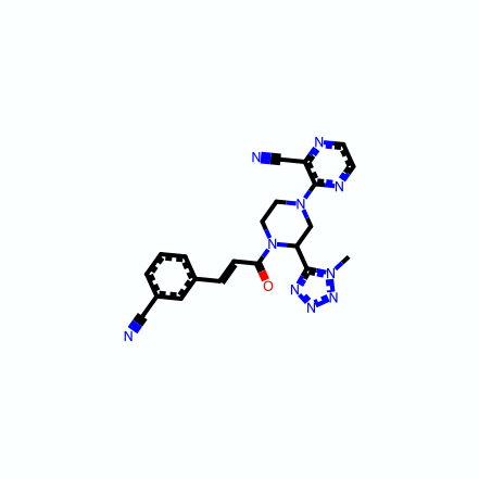 Cn1nnnc1C1CN(c2nccnc2C#N)CCN1C(=O)C=Cc1cccc(C#N)c1